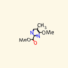 COC(=O)c1ncc(C)c(OC)n1